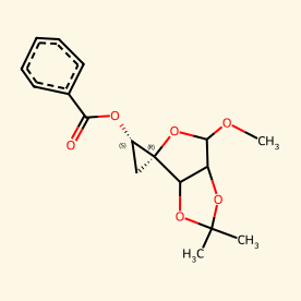 COC1O[C@@]2(C[C@@H]2OC(=O)c2ccccc2)C2OC(C)(C)OC12